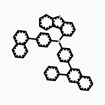 c1ccc(-c2cc3ccccc3cc2-c2ccc(N(c3ccc(-c4cccc5ccccc45)cc3)c3cccc4sc5ccccc5c34)cc2)cc1